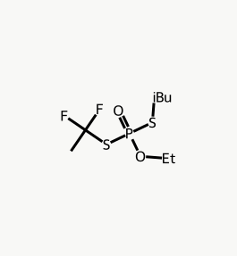 CCOP(=O)(SC(C)CC)SC(C)(F)F